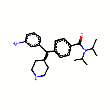 CC(C)N(C(=O)c1ccc(C(=C2CCNCC2)c2cccc(N)c2)cc1)C(C)C